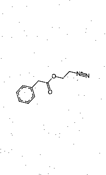 N#[N+]CCOC(=O)Cc1ccccc1